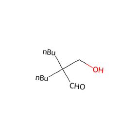 CCCCC(C=O)(CO)CCCC